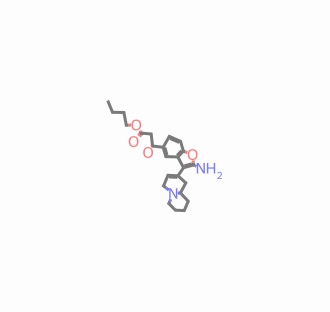 CCCCOC(=O)CC(=O)c1ccc2oc(N)c(C3=CCN4CCCCC4C3)c2c1